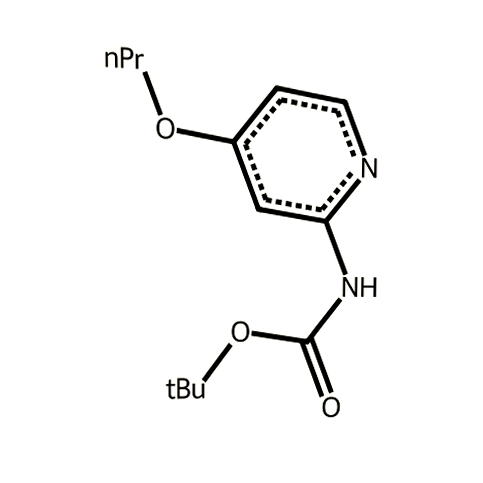 CCCOc1ccnc(NC(=O)OC(C)(C)C)c1